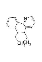 CCc1c(CC)c2cccnc2c2ccccc12